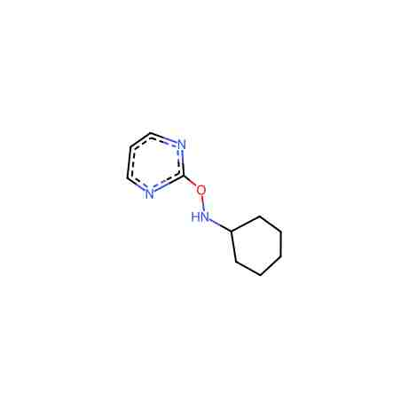 c1cnc(ONC2CCCCC2)nc1